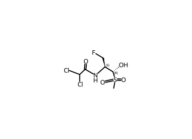 CS(=O)(=O)[C@@H](O)[C@H](CF)NC(=O)C(Cl)Cl